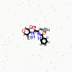 CCC1COCC(=O)C1NC(=O)[C@H](CC(C)(C)C)NC(=O)c1ccccc1